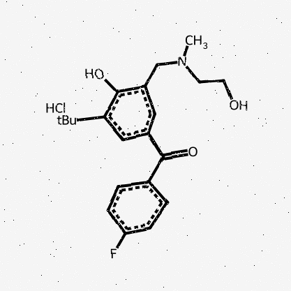 CN(CCO)Cc1cc(C(=O)c2ccc(F)cc2)cc(C(C)(C)C)c1O.Cl